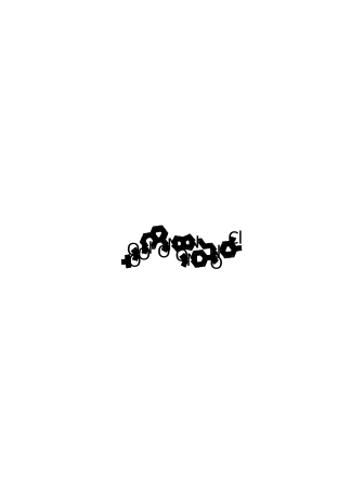 CC(=O)N1CCC(C(=O)N(CCCN2CC3CN(C(=O)c4cccc5c4CN(OC(=O)OC(C)(C)C)CC5)CC3C2)c2ccc(C)c(Cl)c2)CC1